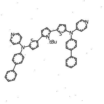 CC(C)(C)n1c(-c2ccc(N(c3ccncc3)c3ccc(-c4ccccc4)cc3)s2)ccc1-c1ccc(N(c2ccncc2)c2ccc(-c3ccccc3)cc2)s1